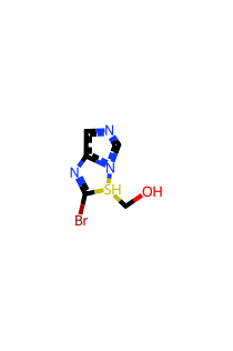 OC[SH]1C(Br)=Nc2cncn21